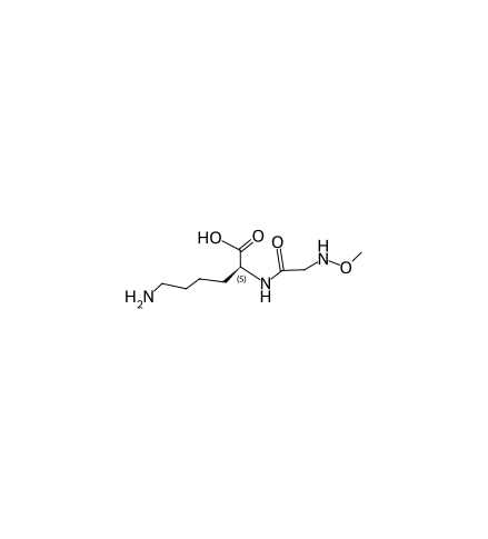 CONCC(=O)N[C@@H](CCCCN)C(=O)O